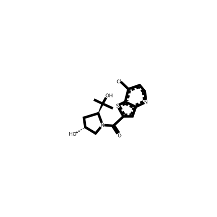 CC(C)(O)[C@@H]1C[C@@H](O)CN1C(=O)c1cc2nccc(Cl)c2s1